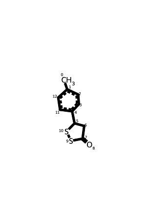 Cc1ccc(C2CC(=O)SS2)cc1